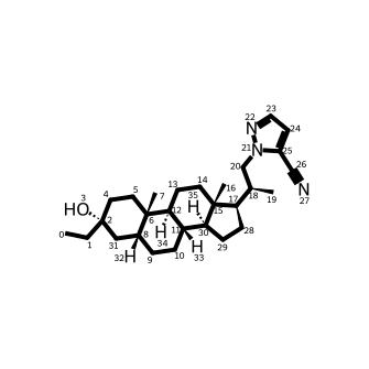 CC[C@@]1(O)CC[C@@]2(C)[C@H](CC[C@@H]3[C@@H]2CC[C@]2(C)[C@@H]([C@H](C)Cn4nccc4C#N)CC[C@@H]32)C1